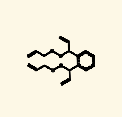 C=CCOOC(C=C)c1ccccc1C(C=C)OOCC=C